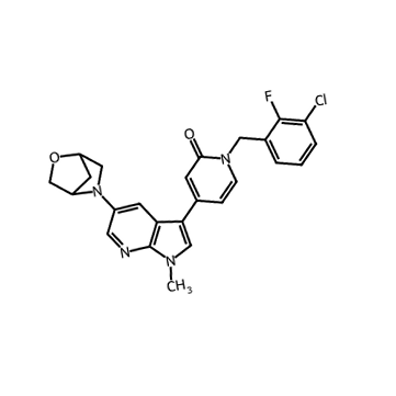 Cn1cc(-c2ccn(Cc3cccc(Cl)c3F)c(=O)c2)c2cc(N3CC4CC3CO4)cnc21